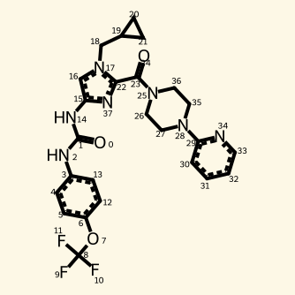 O=C(Nc1ccc(OC(F)(F)F)cc1)Nc1cn(CC2CC2)c(C(=O)N2CCN(c3ccccn3)CC2)n1